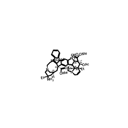 CC[C@]1(N)C[C@H]2C[N@](CCc3c([nH]c4ccccc34)[C@@](C(=O)OC)(c3cc4c(cc3OC)N(C=O)[C@H]3[C@@](C)(C(=O)OC)[C@@H](OC(C)=O)[C@]5(CC)C=CCN6CC[C@]43[C@@H]65)C2)C1